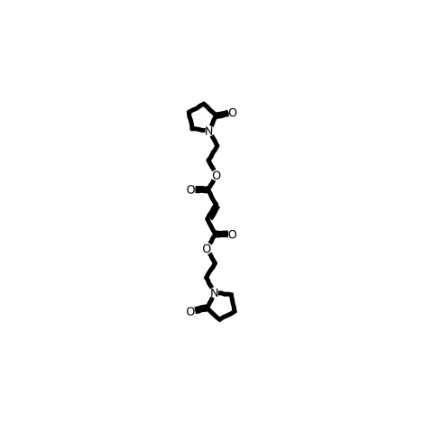 O=C(C=CC(=O)OCCN1CCCC1=O)OCCN1CCCC1=O